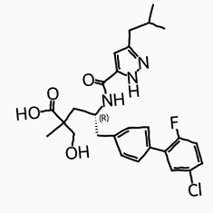 CC(C)Cc1cc(C(=O)N[C@H](Cc2ccc(-c3cc(Cl)ccc3F)cc2)CC(C)(CO)C(=O)O)[nH]n1